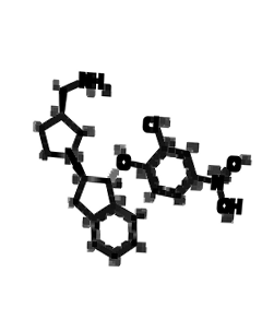 NC[C@@H]1CCN([C@@H]2Cc3ccccc3[C@H]2Oc2ccc([N+](=O)O)cc2Cl)C1